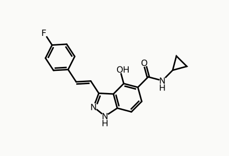 O=C(NC1CC1)c1ccc2[nH]nc(C=Cc3ccc(F)cc3)c2c1O